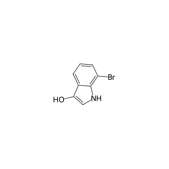 Oc1c[nH]c2c(Br)cccc12